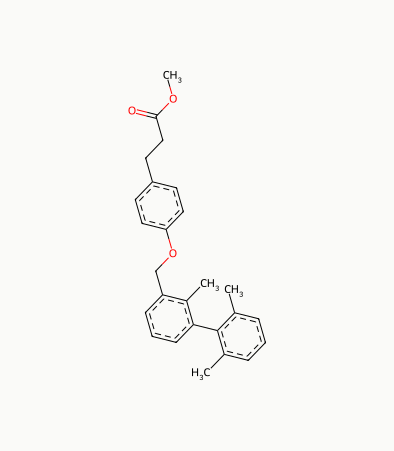 COC(=O)CCc1ccc(OCc2cccc(-c3c(C)cccc3C)c2C)cc1